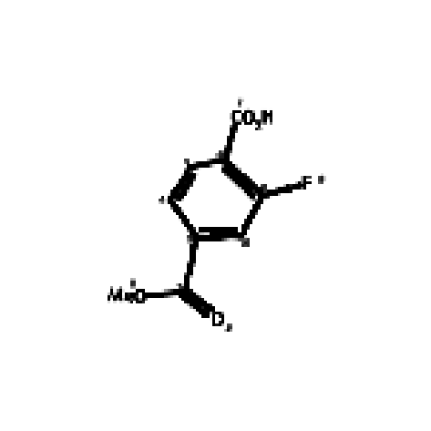 COC(=O)c1ccc(C(=O)O)c(F)c1